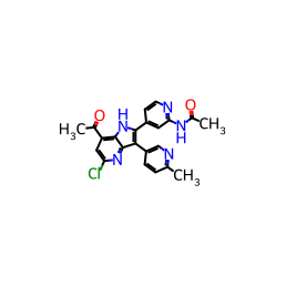 CC(=O)Nc1cc(-c2[nH]c3c(C(C)=O)cc(Cl)nc3c2-c2ccc(C)nc2)ccn1